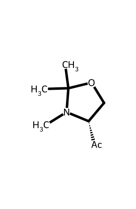 CC(=O)[C@H]1COC(C)(C)N1C